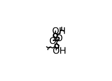 CC(C)=CCc1cc(-c2coc3c(CC=C(C)C)c(O)ccc3c2=O)ccc1O